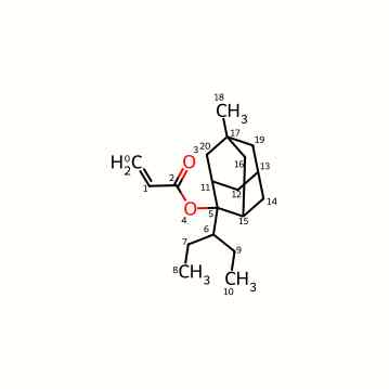 C=CC(=O)OC1(C(CC)CC)C2CC3CC1CC(C)(C3)C2